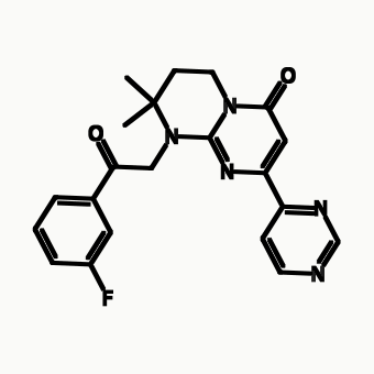 CC1(C)CCn2c(nc(-c3ccncn3)cc2=O)N1CC(=O)c1cccc(F)c1